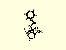 CC1(C)C2CCC1(C)C(C=O)(CCc1ccccc1)C2